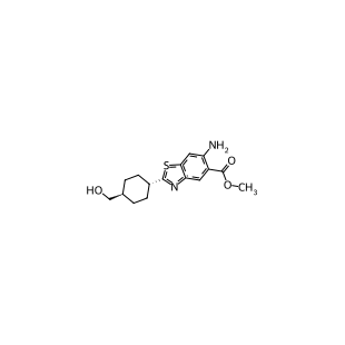 COC(=O)c1cc2nc([C@H]3CC[C@H](CO)CC3)sc2cc1N